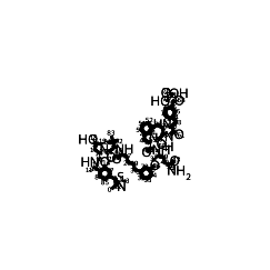 Cc1ncsc1-c1ccc([C@H](C)NC(=O)[C@@H]2C[C@@H](O)CN2C(=O)[C@@H](NC(=O)CCCCc2cccc(OC[C@H](CCC(N)=O)NC(=O)[C@@H]3Cc4cccc5c4N3C(=O)[C@@H](NC(=O)c3cc4cc(C(=O)P(=O)(O)O)ccc4[nH]3)CC5)c2)C(C)(C)C)cc1